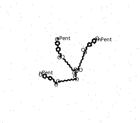 CCCCCOc1ccc(-c2ccc(C=CC(=O)OCCCCCCCCCC(=O)OCC(COC(=O)CCCCCCCCCOC(=O)C=Cc3ccc(-c4ccc(OCCCCC)cc4)cc3)OC(=O)CCCCCCCCCOC(=O)C=Cc3ccc(-c4ccc(OCCCCC)cc4)cc3)cc2)cc1